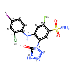 NS(=O)(=O)c1cc(-n2nn[nH]c2=O)c(Nc2ccc(I)cc2Cl)cc1F